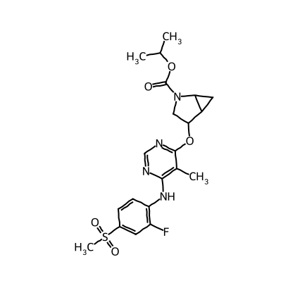 Cc1c(Nc2ccc(S(C)(=O)=O)cc2F)ncnc1OC1CN(C(=O)OC(C)C)C2CC12